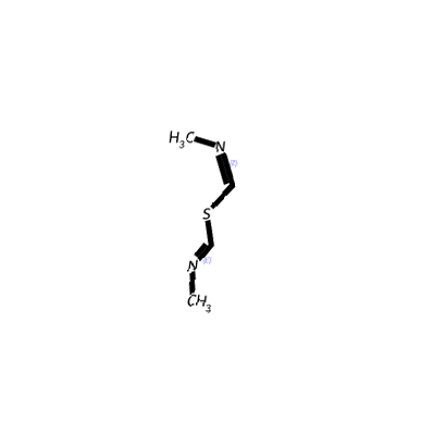 C/N=C\S/C=N/C